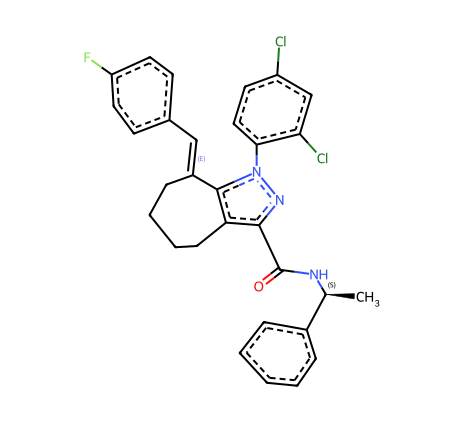 C[C@H](NC(=O)c1nn(-c2ccc(Cl)cc2Cl)c2c1CCCC/C2=C\c1ccc(F)cc1)c1ccccc1